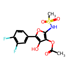 CC(=O)Oc1c(NS(C)(=O)=O)oc(-c2ccc(F)c(F)c2)c1O